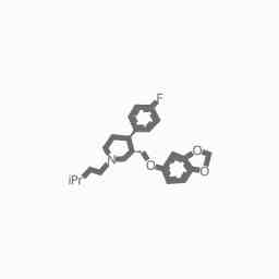 CC(C)CCN1CC[C@@H](c2ccc(F)cc2)[C@H](COc2ccc3c(c2)OCO3)C1